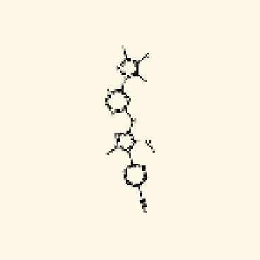 COc1c(Nc2cc(-n3nc(C)c(Cl)c3C)ncn2)nn(C)c1-c1ccc(C#N)cc1